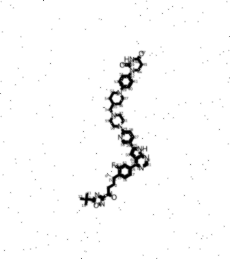 C[C@@H](CCC(=O)c1noc(C(C)(C)C)n1)c1ccc(-c2ncnc3[nH]c(-c4ccc(N5CCN(CC6CCN(c7ccc(N8CCC(=O)NC8=O)cc7)CC6)CC5)nc4)cc23)cc1F